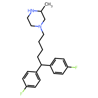 CC1CN(CCCCC(c2ccc(F)cc2)c2ccc(F)cc2)CCN1